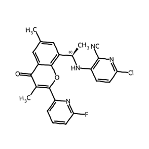 Cc1cc([C@@H](C)Nc2ccc(Cl)nc2C#N)c2oc(-c3cccc(F)n3)c(C)c(=O)c2c1